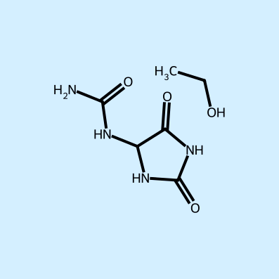 CCO.NC(=O)NC1NC(=O)NC1=O